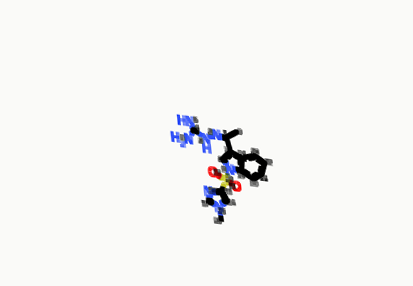 C/C(=N/NC(=N)N)c1cn(S(=O)(=O)c2cn(C)cn2)c2ccccc12